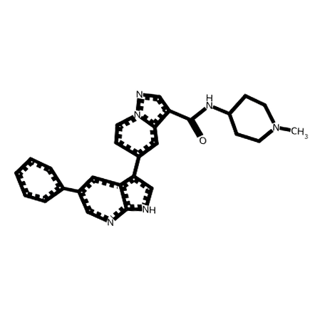 CN1CCC(NC(=O)c2cnn3ccc(-c4c[nH]c5ncc(-c6ccccc6)cc45)cc23)CC1